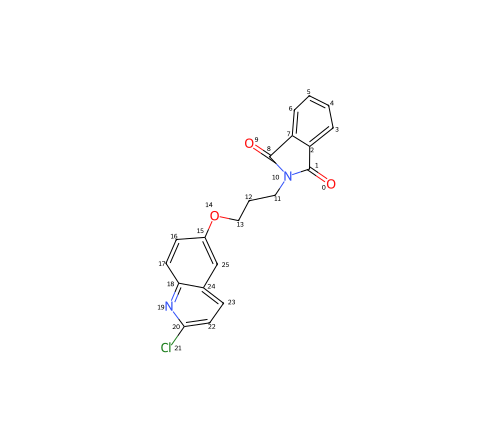 O=C1c2ccccc2C(=O)N1CCCOc1ccc2nc(Cl)ccc2c1